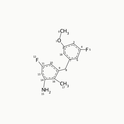 COc1cc(F)cc(Cc2cc(F)cc(N)c2C)c1